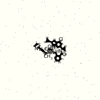 C[C@@H](C#Cc1nccs1)NC(C)(O)C(=O)NCc1ccccc1C(=O)NC1(c2cc(Cl)c3c(c2)=CC(C2CC2)C=3)CC1